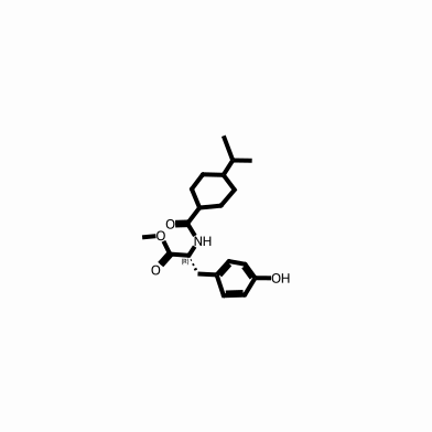 COC(=O)[C@@H](Cc1ccc(O)cc1)NC(=O)C1CCC(C(C)C)CC1